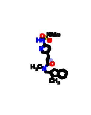 CNS(=O)(=O)Nc1ccc(/C=C/C(=O)N(C)CC2=C(C)c3ccccc3C2)cn1